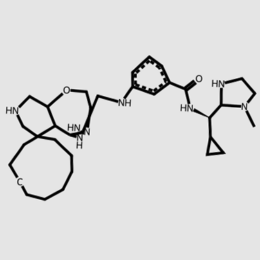 CN1CCNC1[C@H](NC(=O)c1cccc(NCC2NNC3C4C(CNCC45CCCCCCCCC5)OCCN23)c1)C1CC1